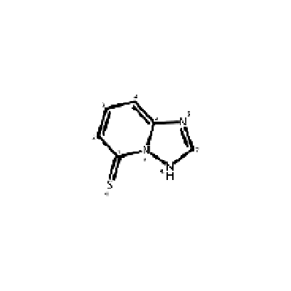 S=c1cccc2nc[nH]n12